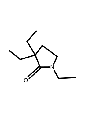 CCN1CCC(CC)(CC)C1=O